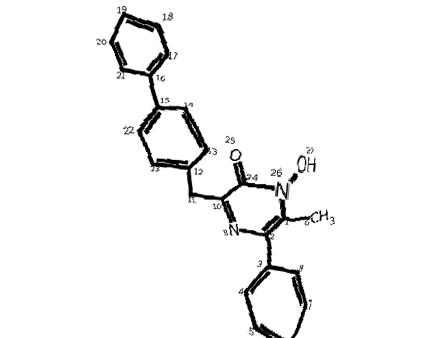 Cc1c(-c2ccccc2)nc(Cc2ccc(-c3ccccc3)cc2)c(=O)n1O